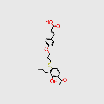 CCCc1c(SCCCOc2ccc(/C=C/C(=O)O)cc2)ccc(C(C)=O)c1O